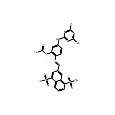 NC(=O)Nc1cc(Nc2nc(Cl)nc(Cl)n2)ccc1/N=N/c1cc(S(=O)(=O)O)c2cccc(S(=O)(=O)O)c2c1